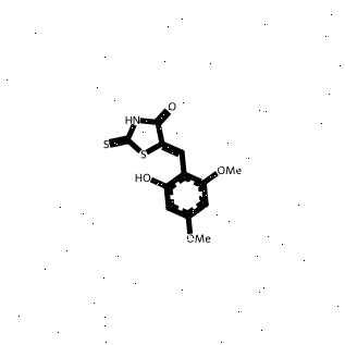 COc1cc(O)c(C=C2SC(=S)NC2=O)c(OC)c1